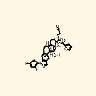 CC12Cc3cnn(-c4ccc(F)cc4F)c3C=C1CC[C@@H]1[C@@H]2[C@@H](O)C[C@@]2(C)[C@H]1CC[C@]2(OC(=O)c1ccco1)C(=O)SCC#N